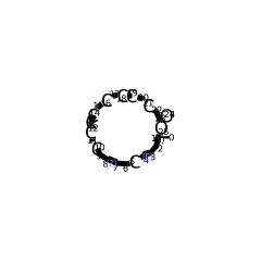 C[C@H]1C/C=C/CC/C=C\CCCCCCCCCCCCCCC(=O)O1